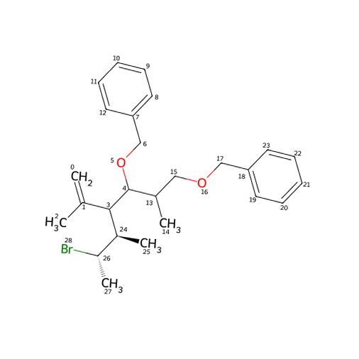 C=C(C)C(C(OCc1ccccc1)C(C)COCc1ccccc1)[C@@H](C)[C@H](C)Br